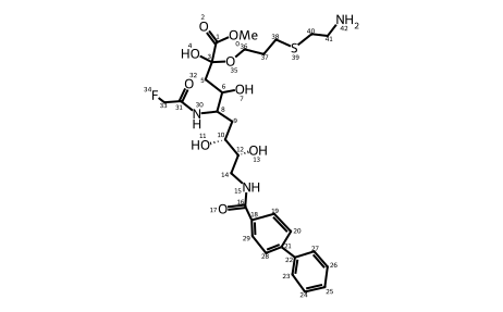 COC(=O)C(O)(CC(O)C(C[C@@H](O)[C@H](O)CNC(=O)c1ccc(-c2ccccc2)cc1)NC(=O)CF)OCCCSCCN